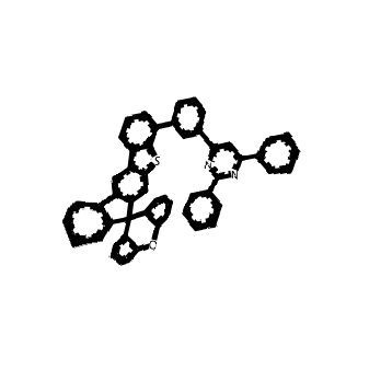 c1ccc(-c2cc(-c3cccc(-c4cccc5c4sc4cc6c(cc45)-c4ccccc4C64c5ccccc5Oc5ccccc54)c3)nc(-c3ccccc3)n2)cc1